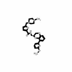 COc1cccc(-c2cccc3c2O[C@@H](CNC(=O)c2ccc(CN4CCN(C)CC4)o2)CO3)n1